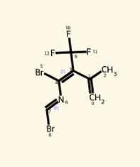 C=C(C)/C(=C(Br)\N=C\Br)C(F)(F)F